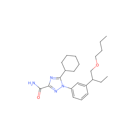 CCCCOCC(CC)c1cccc(-n2nc(C(N)=O)nc2C2CCCCC2)c1